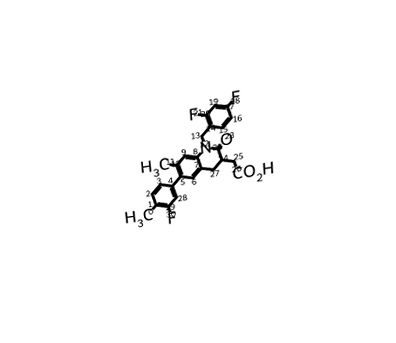 Cc1ccc(-c2cc3c(cc2C)N(Cc2ccc(F)cc2F)C(=O)C(CC(=O)O)C3)cc1F